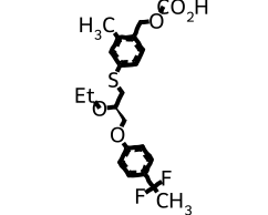 CCO[C@H](COc1ccc(C(C)(F)F)cc1)CSc1ccc(COC(=O)O)c(C)c1